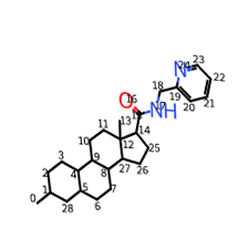 CC1CCC2C(CCC3C2CCC2(C)C(C(=O)NCc4ccccn4)CCC32)C1